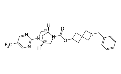 O=C(OC1CC2(C1)CN(Cc1ccccc1)C2)N1C[C@H]2C[C@@H]1CN2c1ncc(C(F)(F)F)cn1